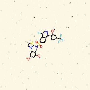 COc1ccc(CN(c2nccs2)S(=O)(=O)c2ccc3c(-c4ccc(C(F)(F)F)cc4OC)ncc(F)c3c2)c(OC)c1